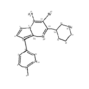 Cc1ccc(-c2cnn3c(N)c(Br)c(C4CCCNC4)nc23)cn1